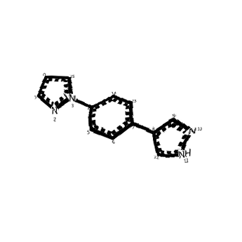 c1cnn(-c2ccc(-c3cn[nH]c3)cc2)c1